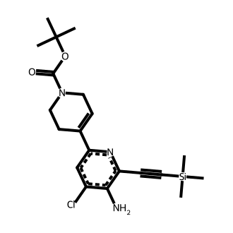 CC(C)(C)OC(=O)N1CC=C(c2cc(Cl)c(N)c(C#C[Si](C)(C)C)n2)CC1